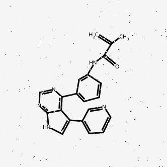 C=C(C)C(=O)Nc1cccc(-c2ncnc3[nH]cc(-c4cccnc4)c23)c1